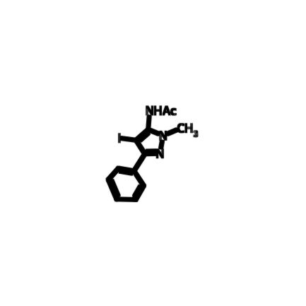 CC(=O)Nc1c(I)c(-c2ccccc2)nn1C